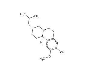 COc1cc2c(cc1O)CCN1C[C@@H](CC(C)C)CC[C@H]21